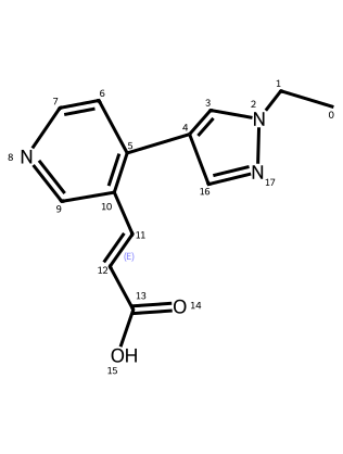 CCn1cc(-c2ccncc2/C=C/C(=O)O)cn1